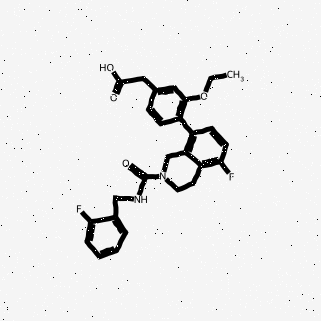 CCOc1cc(CC(=O)O)ccc1-c1ccc(F)c2c1CN(C(=O)NCc1ccccc1F)CC2